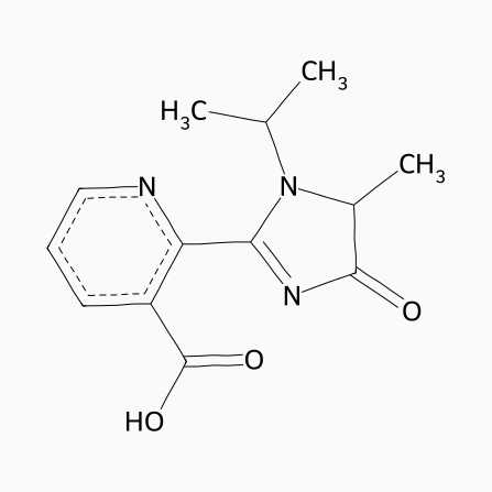 CC(C)N1C(c2ncccc2C(=O)O)=NC(=O)C1C